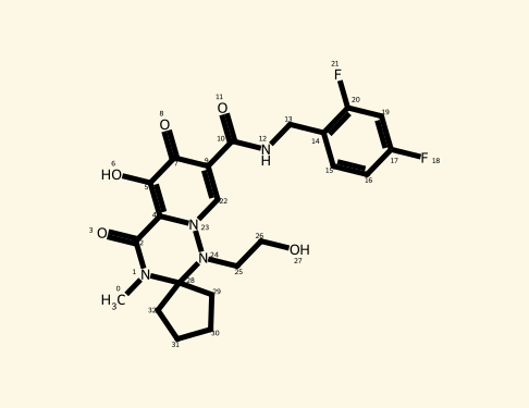 CN1C(=O)c2c(O)c(=O)c(C(=O)NCc3ccc(F)cc3F)cn2N(CCO)C12CCCC2